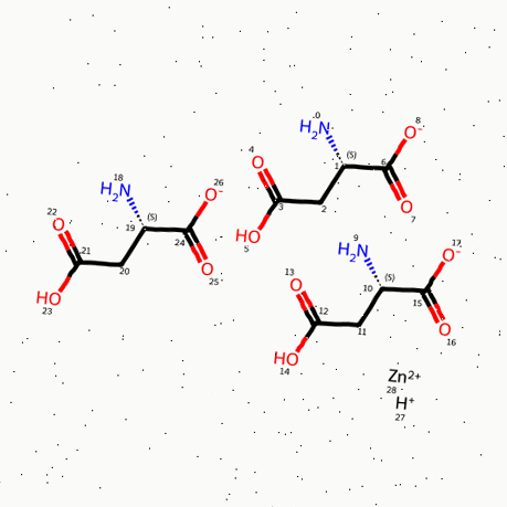 N[C@@H](CC(=O)O)C(=O)[O-].N[C@@H](CC(=O)O)C(=O)[O-].N[C@@H](CC(=O)O)C(=O)[O-].[H+].[Zn+2]